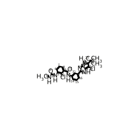 CNC(=O)Nc1cccc(C(=O)Nc2cccc(-c3nn4nc(C(C)(C)C)c(Cl)c4[nH]3)c2)c1Cl